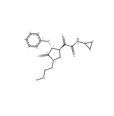 COCCN1C[C@H](C(=O)C(=O)NC2CC2)[C@@H](Cc2ccccc2)C1=O